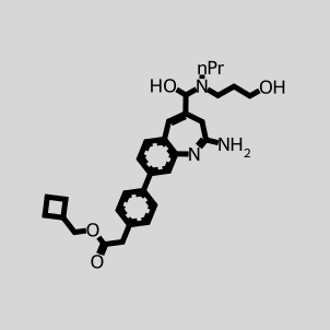 CCCN(CCCO)C(O)C1=Cc2ccc(-c3ccc(CC(=O)OCC4CCC4)cc3)cc2N=C(N)C1